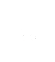 COCO[C@H]1CC2C(C(=O)OC)=C(c3ccc(Cl)c(Cl)c3)CC1N2C